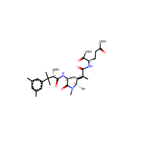 CN[C@H](C(=O)N[C@H](C(=O)N(C)[C@H](/C=C(\C)C(=O)N[C@H](CCC(=O)OC)C(=O)OC)C(C)C)C(C)(C)C)C(C)(C)c1cc(C)cc(C)c1